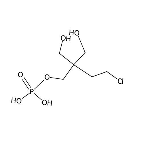 O=P(O)(O)OCC(CO)(CO)CCCl